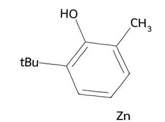 Cc1cccc(C(C)(C)C)c1O.[Zn]